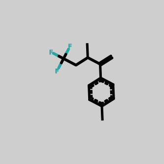 C=C(c1ccc(C)cc1)C(C)CC(F)(F)F